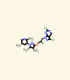 Cc1cnc(C)c(-n2nc(OCC(F)Cn3nc(Cl)c4cnc(Cl)nc43)c([N+](=O)[O-])c2C)c1